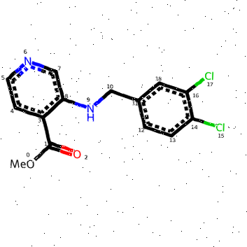 COC(=O)c1ccncc1NCc1ccc(Cl)c(Cl)c1